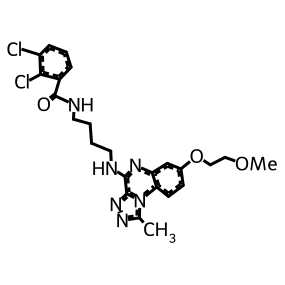 COCCOc1ccc2c(c1)nc(NCCCCNC(=O)c1cccc(Cl)c1Cl)c1nnc(C)n12